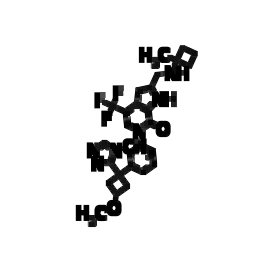 COC1CC(c2cccc(-n3cc(C(F)(F)F)c4cc(CNC5(C)CCC5)[nH]c4c3=O)c2)(c2nncn2C)C1